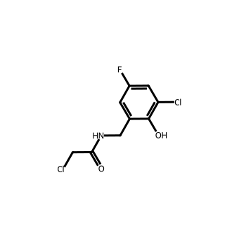 O=C(CCl)NCc1cc(F)cc(Cl)c1O